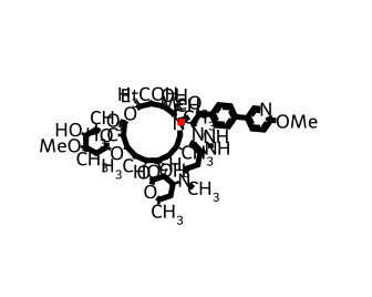 CC[C@H]1OC(=O)[C@H](C)[C@@H](O[C@H]2C[C@@](C)(OC)[C@@H](O)[C@H](C)O2)[C@H](C)[C@@H](O[C@@H]2O[C@H](C)C[C@H](N(C)CCC3=CN([C@H](CF)[C@H](OC)c4ccc(-c5ccc(OC)nc5)cc4)NN3)[C@H]2O)[C@](C)(O)C[C@@H](C)CN(C)[C@H](C)[C@@H](O)[C@]1(C)O